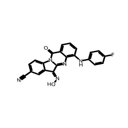 N#Cc1ccc2c(c1)/C(=N\O)c1nc3c(Nc4ccc(F)cc4)cccc3c(=O)n1-2